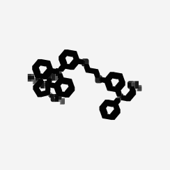 C/C=C\P(c1ccccc1)c1cccc(OCCOc2cccc(P(c3ccccc3)c3ccccc3[PH]3(C)[C@H](C)CC[C@H]3C)c2)c1